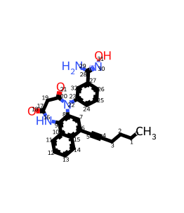 CCCCC#Cc1cc2c(c3ccccc13)NC(=O)CC(=O)N2c1cccc(/C(N)=N/O)c1